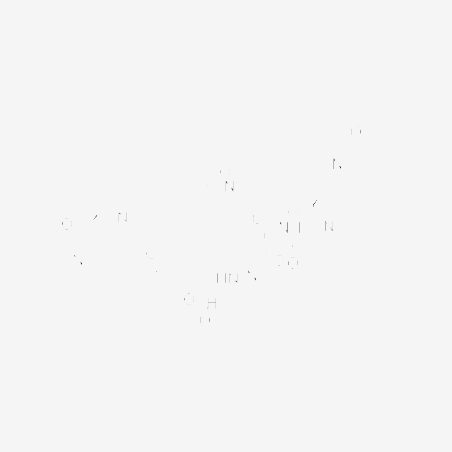 C=CC(=O)N1CC[C@H](C(=O)N(C)C(C(=O)N[C@H]2Cc3coc(n3)-c3ccc4c(c3)c(c(-c3cccnc3[C@H](C)OC)n4CC)CC(C)(C)COC(=O)[C@@H]3CCCN(N3)C2=O)C(C)C)C1